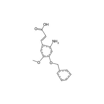 COc1cc(C=CC(=O)O)c(N)cc1OCc1ccccc1